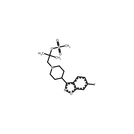 CC(C)(CN1CCC(c2noc3cc(F)ccc23)CC1)OS(C)(=O)=O